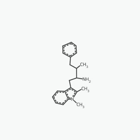 Cc1c(CC(N)C(C)Cc2ccccc2)c2ccccc2n1C